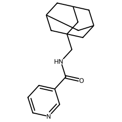 O=C(NCC12CC3CC(CC(C3)C1)C2)c1cccnc1